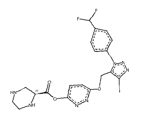 Cc1nnn(-c2ccc(C(F)F)cc2)c1COc1ccc(OC(=O)[C@@H]2CNCCN2)nn1